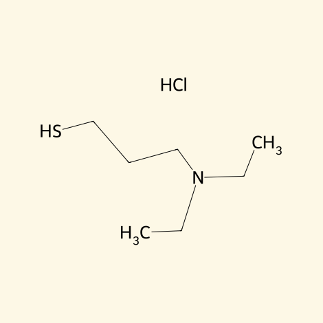 CCN(CC)CCCS.Cl